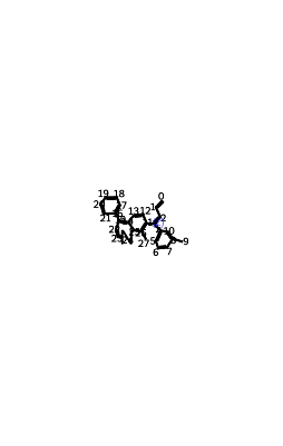 C=C/C=C(/c1cccc(C)c1)c1ccc2c(-c3ccccc3)ccnc2c1C